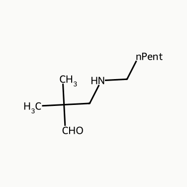 CCCCCCNCC(C)(C)C=O